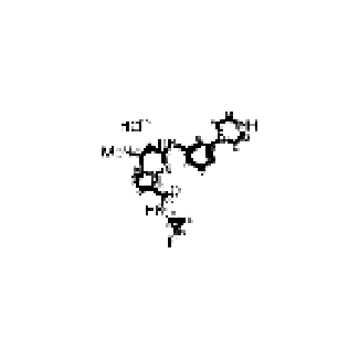 CNc1cc(Nc2cccc(N3CCNCC3)c2)nn2c(C(=O)N[C@@H]3C[C@@H]3F)cnc12.Cl